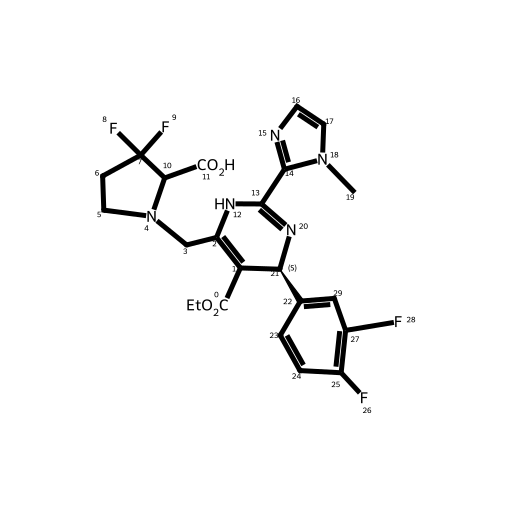 CCOC(=O)C1=C(CN2CCC(F)(F)C2C(=O)O)NC(c2nccn2C)=N[C@H]1c1ccc(F)c(F)c1